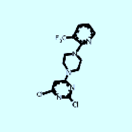 FC(F)(F)c1cccnc1N1CCN(c2cc(Cl)nc(Cl)n2)CC1